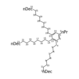 [CH2]CCc1cc(CCCCCCCCCCCCCCCCCC)c(CCCCCCCCCCCCCCCCCC)c(CCCCCCCCCCCCCCCCCC)c1